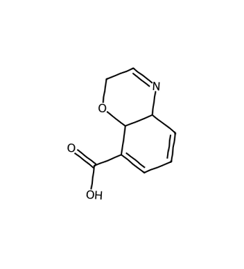 O=C(O)C1=CC=CC2N=CCOC12